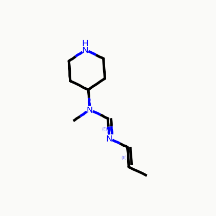 C/C=C/N=C/N(C)C1CCNCC1